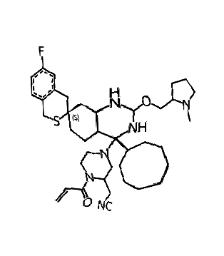 C=CC(=O)N1CCN(C2(C3CCCCCCC3)NC(OCC3CCCN3C)NC3C[C@]4(CCC32)Cc2cc(F)ccc2CS4)CC1CC#N